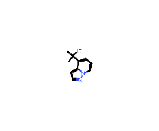 CCC(C)(C)c1cccn2nccc12